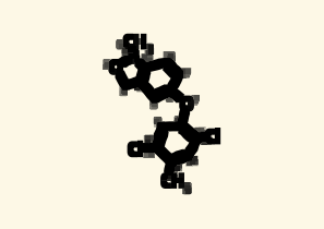 CB1OCc2cc(Oc3cc(Cl)c(C)cc3Cl)ccc21